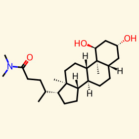 CC(CCC(=O)N(C)C)[C@H]1CC[C@H]2[C@@H]3CC[C@H]4C[C@@H](O)C[C@H](O)[C@]4(C)[C@H]3CC[C@]12C